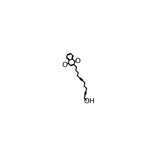 O=C1C=C(CCCCC#CCCCC#CCO)C(=O)c2ccccc21